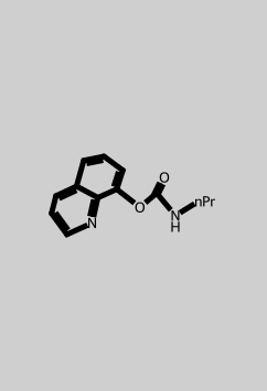 CCCNC(=O)Oc1cccc2cccnc12